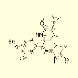 CCOc1ccc(C(=C[C@H]2CCC(=O)N2)c2ccc(C3CC3)c(=O)[nH]2)cc1Cl